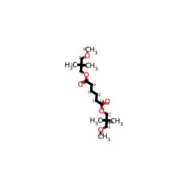 COCC(C)(C)COC(=O)CCCCC(=O)OCC(C)(C)COC